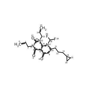 C=CCn1c(=O)c2c(=O)cc(CCCC3CC3)n(C(F)F)c2n(CC=C)c1=O